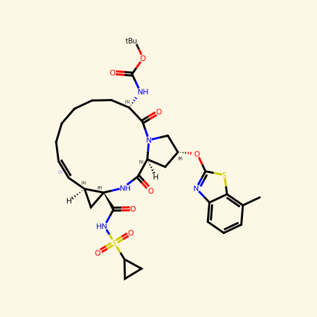 Cc1cccc2nc(O[C@@H]3C[C@H]4C(=O)N[C@]5(C(=O)NS(=O)(=O)C6CC6)C[C@H]5/C=C\CCCCC[C@H](NC(=O)OC(C)(C)C)C(=O)N4C3)sc12